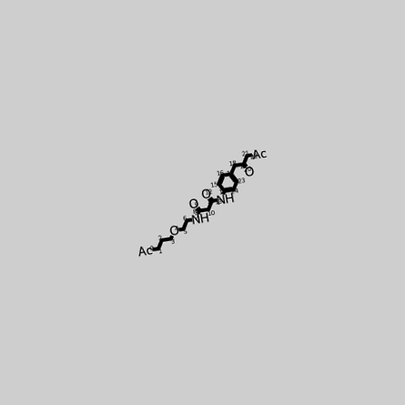 CC(=O)CCCOCCNC(=O)CC(=O)Nc1ccc(CC(=O)CC(C)=O)cc1